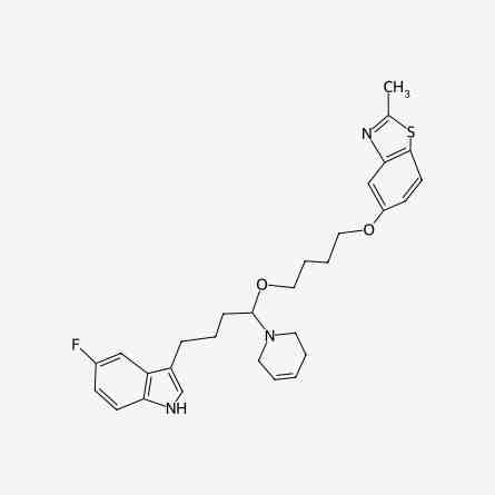 Cc1nc2cc(OCCCCOC(CCCc3c[nH]c4ccc(F)cc34)N3CC=CCC3)ccc2s1